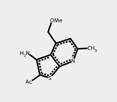 COCc1cc(C)nc2sc(C(C)=O)c(N)c12